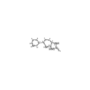 S=c1[nH]c2ccc(-c3cccnc3)nc2[nH]1